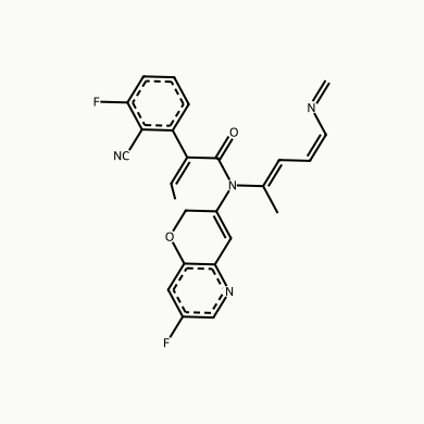 C=N/C=C\C=C(/C)N(C(=O)/C(=C\C)c1cccc(F)c1C#N)C1=Cc2ncc(F)cc2OC1